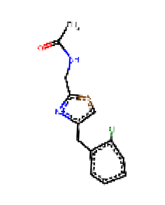 CC(=O)NCc1nc(Cc2ccccc2Cl)cs1